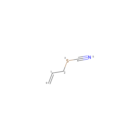 C=C[CH]SC#N